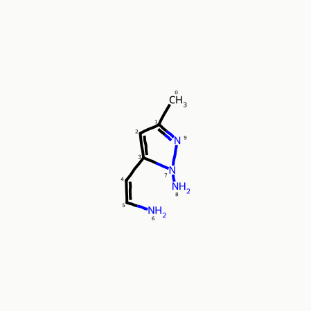 Cc1cc(/C=C\N)n(N)n1